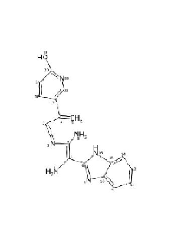 C=C(/C=N\C(N)=C(/N)c1nc2ccccc2[nH]1)c1ccc(O)nc1